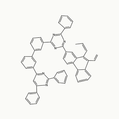 C=Cc1c(/C=C\C)c2cc(-c3nc(-c4ccccc4)nc(-c4cccc(-c5cccc(-c6cc(-c7ccccc7)nc(-c7ccccc7)n6)c5)c4)n3)ccc2c2ccccc12